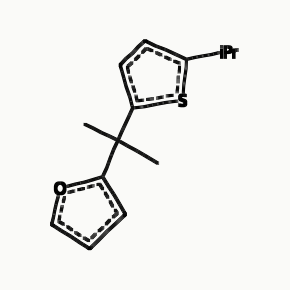 CC(C)c1ccc(C(C)(C)c2ccco2)s1